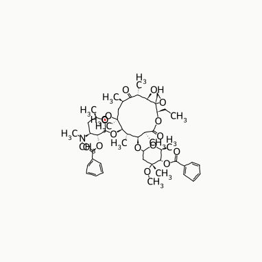 CC[C@H]1OC(=O)[C@H](C)[C@@H](OC2C[C@@](C)(OC)[C@@H](OC(=O)c3ccccc3)[C@H](C)O2)[C@H](C)[C@@H](OC2O[C@H](C)C[C@H](N(C)C)[C@H]2OC(=O)c2ccccc2)[C@@](C)(OC)C[C@@H](C)C(=O)[C@H](C)[C@@H](O)[C@@]12CO2